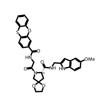 COc1ccc2[nH]c(CNC(=O)[C@@H]3CC4(CN3C(=O)CNC(=O)c3ccc5c(c3)Oc3ccccc3S5)OCCO4)cc2c1